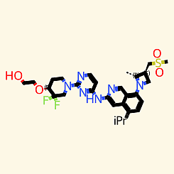 CC(C)c1ccc(N2C[C@H](CS(C)(=O)=O)[C@H]2C)c2cnc(Nc3ccnc(N4CC[C@@H](OCCO)C(F)(F)C4)n3)cc12